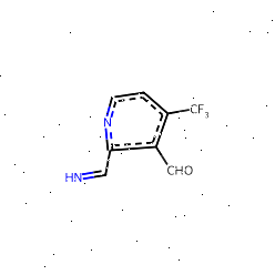 N=Cc1nccc(C(F)(F)F)c1C=O